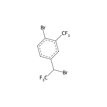 FC(F)(F)c1cc(C(Br)C(F)(F)F)ccc1Br